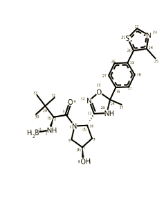 BN[C@H](C(=O)N1C[C@H](O)C[C@H]1C1=NOC(C)(c2ccc(-c3scnc3C)cc2)N1)C(C)(C)C